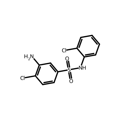 Nc1cc(S(=O)(=O)Nc2ccccc2Cl)ccc1Cl